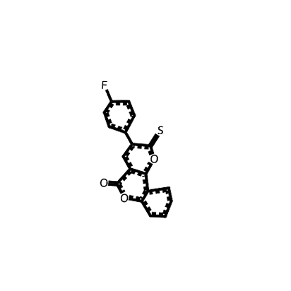 O=c1oc2ccccc2c2oc(=S)c(-c3ccc(F)cc3)cc12